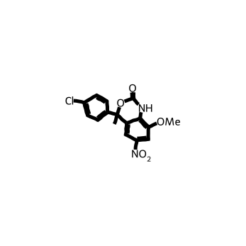 COc1cc([N+](=O)[O-])cc2c1NC(=O)OC2(C)c1ccc(Cl)cc1